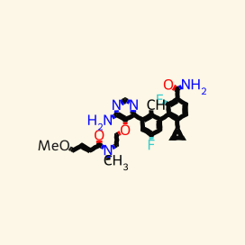 COCC=CC(=O)N(C)CCOc1c(N)ncnc1-c1cc(F)cc(-c2c(C3CC3)ccc(C(N)=O)c2F)c1C